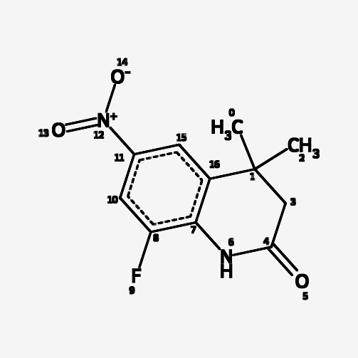 CC1(C)CC(=O)Nc2c(F)cc([N+](=O)[O-])cc21